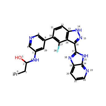 CC(C)CC(O)Nc1cncc(-c2ccc3[nH]nc(-c4nc5cccnc5[nH]4)c3c2F)c1